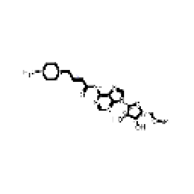 CC(C)OC[C@H]1O[C@@H](n2cnc3c(NC(=O)/C=C/CN4CCN(C)CC4)ncnc32)[C@H](O)[C@@H]1O